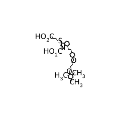 Cc1cc(C)c(OCCCCOc2ccc(/C=C/c3cccc4c(SCCCC(=O)O)cn(CC(=O)O)c34)cc2)c(C)c1